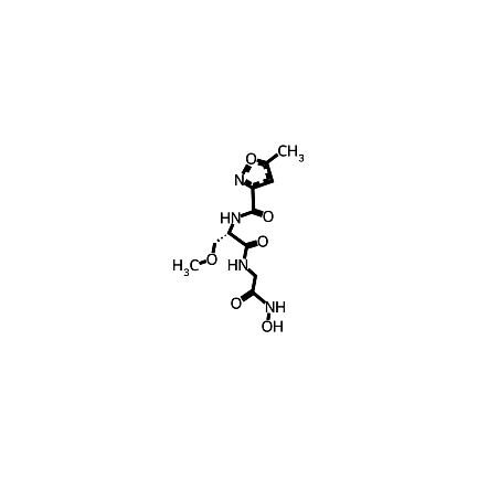 COC[C@H](NC(=O)c1cc(C)on1)C(=O)NCC(=O)NO